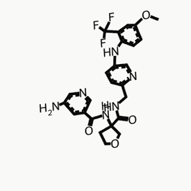 COc1ccc(Nc2ccc(CNC(=O)C3(NC(=O)c4cncc(N)c4)CCOC3)nc2)c(C(F)(F)F)c1